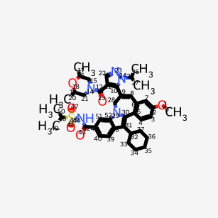 COc1ccc2c(c1)C=C(c1c(C(=O)N3CC(C)OC(C)C3)cnn1C(C)C)Cn1c-2c(C2CCCCC2)c2ccc(C(=O)NS(=O)(=O)C(C)C)cc21